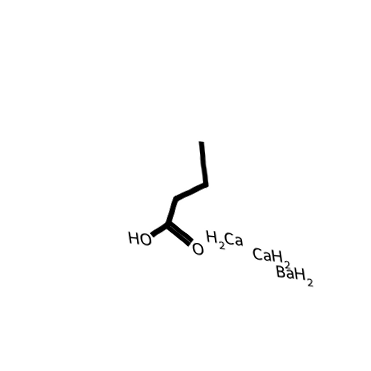 CCCC(=O)O.[BaH2].[CaH2].[CaH2]